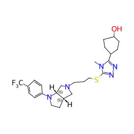 Cn1c(SCCCN2C[C@@H]3CCN(c4ccc(C(F)(F)F)cc4)[C@@H]3C2)nnc1C1CCC(O)CC1